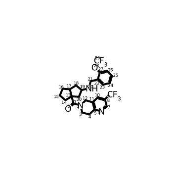 O=C(N1CCc2ncc(C(F)(F)F)cc2C1)C12CCCC1CC(NCc1ccccc1OC(F)(F)F)C2